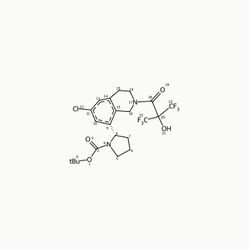 CC(C)(C)OC(=O)N1CCC[C@H]1c1cc(Cl)cc2c1CN(C(=O)C(O)(C(F)(F)F)C(F)(F)F)CC2